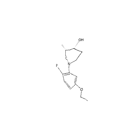 CCOc1ccc(F)c(N2CC[C@@H](O)[C@@H](C)C2)c1